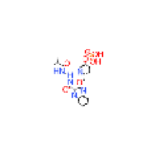 CC(C)C(=O)NCCNC(=O)c1nc2ccccc2nc1OCc1ccc(OP(=O)(O)O)cn1